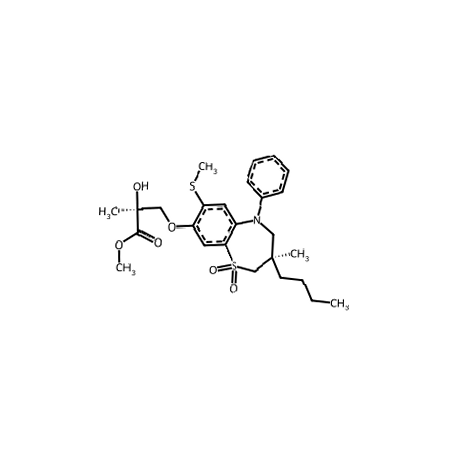 CCCC[C@]1(C)CN(c2ccccc2)c2cc(SC)c(OC[C@](C)(O)C(=O)OC)cc2S(=O)(=O)C1